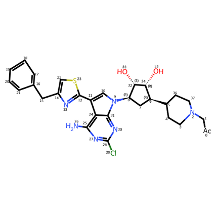 CC(=O)CN1CCC([C@H]2C[C@@H](n3cc(-c4nc(Cc5ccccc5)cs4)c4c(N)nc(Cl)nc43)[C@H](O)[C@@H]2O)CC1